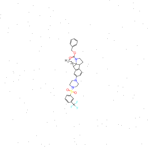 C[C@@H]1C2c3cc(N4CCN(S(=O)(=O)c5cccc(C(F)(F)F)c5)CC4)ccc3C3CCN(C(=O)OCc4ccccc4)C321